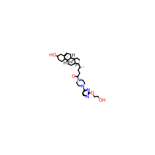 C[C@H](CCC(=O)N1CCN(c2ccnc(OCCO)n2)CC1)[C@H]1CC[C@H]2[C@@H]3CC=C4C[C@@H](O)CC[C@]4(C)[C@H]3CC[C@]12C